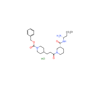 CCOC(=O)C[C@@H](N)NC(=O)[C@@H]1CCCN(C(=O)CCC2CCN(C(=O)OCc3ccccc3)CC2)C1.Cl